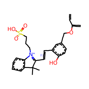 C=CC(=C)OCc1ccc(O)c(/C=C/C2=[N+](CCCS(=O)(=O)O)c3ccccc3C2(C)C)c1